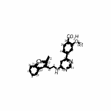 CCOc1cc(-c2cc(NCCc3c(C)oc4ccccc34)ncn2)ccc1C(=O)O